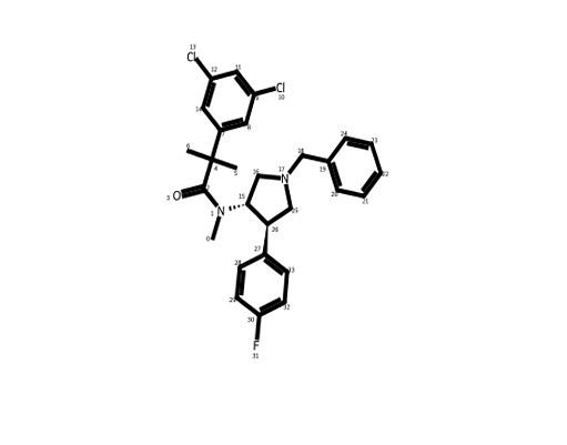 CN(C(=O)C(C)(C)c1cc(Cl)cc(Cl)c1)[C@@H]1CN(Cc2ccccc2)C[C@H]1c1ccc(F)cc1